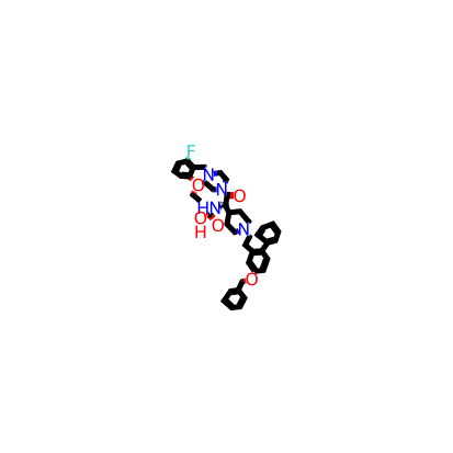 CCOc1cccc(F)c1CN1CCN(C(=O)[C@H](NC(=O)O)C2CCN(CCc3cc(OCc4ccccc4)ccc3-c3ccccc3)CC2)CC1